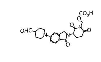 O=CC1CCN(c2ccc3c(c2)CN(C2CCC(=O)N(COC(=O)O)C2=O)C3=O)CC1